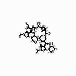 CCc1nc2c(cnn2CC)c(NC2CCOCC2)c1CNC(=O)c1ccc(C(=O)NCc2c(CC)nc3c(cnn3CC)c2NC2CCOCC2)s1